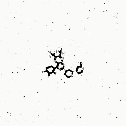 [2H]C([2H])([2H])c1nc2nc([C@H]3CCO[C@@H](c4ccnc(C)c4)C3)nc(-c3ccc(Cl)c(F)c3F)c2nc1C([2H])([2H])[2H]